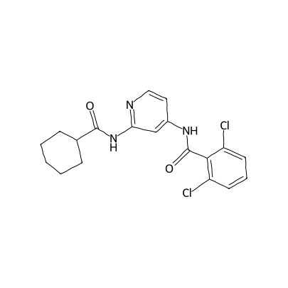 O=C(Nc1ccnc(NC(=O)C2CCCCC2)c1)c1c(Cl)cccc1Cl